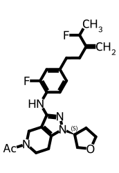 C=C(CCc1ccc(Nc2nn([C@H]3CCOC3)c3c2CN(C(C)=O)CC3)c(F)c1)C(C)F